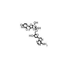 Nc1ncnc2c1ncn2[C@H]1CC(O)[C@@H](COP(=O)(S)OC2C(F)[C@H](n3ccc(=O)[nH]c3=O)O[C@@H]2CO)O1